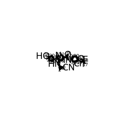 N#CC1CC1Nc1cc(C(=O)Nc2ccc(OC(F)(F)Cl)cc2)cnc1N1CC[C@@H](O)C1